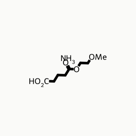 COCCOC(=O)CCCC(=O)O.N